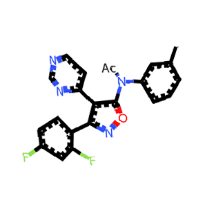 CC(=O)N(c1cccc(C)c1)c1onc(-c2ccc(F)cc2F)c1-c1ccncn1